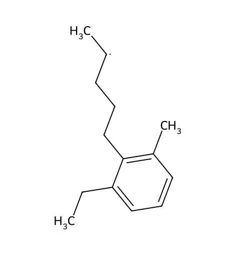 C[CH]CCCc1c(C)cccc1CC